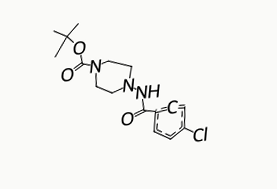 CC(C)(C)OC(=O)N1CCN(NC(=O)c2ccc(Cl)cc2)CC1